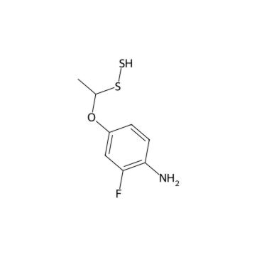 CC(Oc1ccc(N)c(F)c1)SS